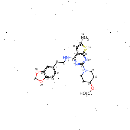 O=C(O)OC1CCN(c2nc(NCCc3ccc4c(c3)OCO4)c3cc([N+](=O)[O-])sc3n2)CC1